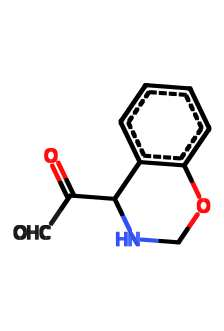 O=CC(=O)C1NCOc2ccccc21